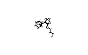 CCCCOc1nsnc1C1CN2CCC1CC2